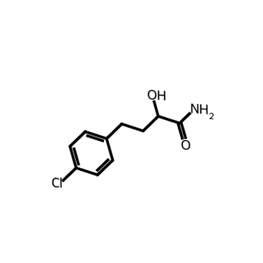 NC(=O)C(O)CCc1ccc(Cl)cc1